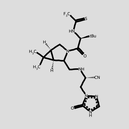 CC(C)(C)[C@H](NC(=S)C(F)(F)F)C(=O)N1C[C@H]2[C@@H](C1CN[C@H](C#N)Cn1nc[nH]c1=O)C2(C)C